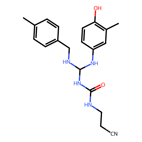 Cc1ccc(CNC(NC(=O)NCCC#N)Nc2ccc(O)c(C)c2)cc1